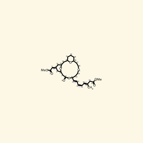 COC(=O)/C=C1\CC2CC(=O)OC(/C=C/C=C\C=C(/C)CC(=O)OC)CCOCCC3CCCC(CC(C1)O2)O3